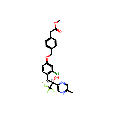 COC(=O)Cc1ccc(COc2ccc([C@@H](C)[C@@](O)(c3cnc(C)cn3)C(F)(F)F)c(Cl)c2)cc1